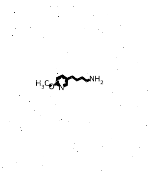 COc1ccc(CCCCN)cn1